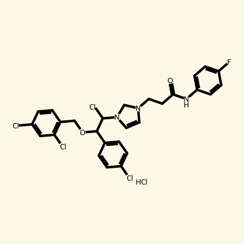 Cl.O=C(CCN1C=CN(C(Cl)C(OCc2ccc(Cl)cc2Cl)c2ccc(Cl)cc2)C1)Nc1ccc(F)cc1